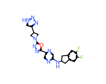 Fc1cc2c(cc1F)CC(Nc1cnc(-c3nnc(N4CC(c5c[nH]nn5)C4)o3)cn1)C2